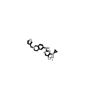 FC(F)(F)c1cnc(Nc2ccc3c(c2)CCN(Cc2ccoc2)C3)nc1NC1CC1